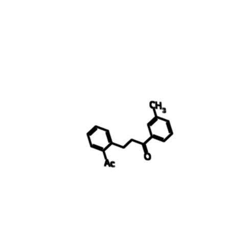 CC(=O)c1ccccc1CCC(=O)c1cccc(C)c1